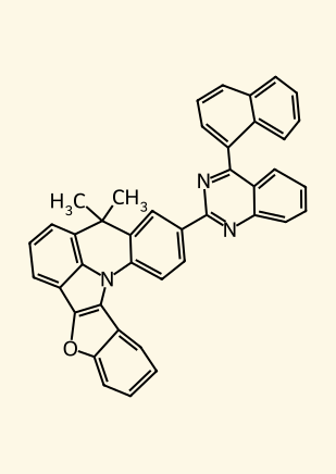 CC1(C)c2cc(-c3nc(-c4cccc5ccccc45)c4ccccc4n3)ccc2-n2c3c1cccc3c1oc3ccccc3c12